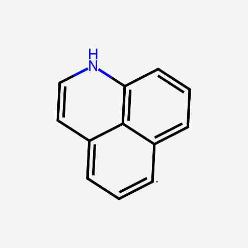 [c]1ccc2c3c(cccc13)NC=C2